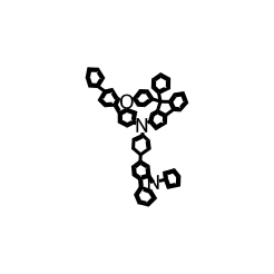 C1=CC(c2ccc3c4ccccc4n(-c4ccccc4)c3c2)CC=C1N(c1ccc2c(c1)C(c1ccccc1)(c1ccccc1)c1ccccc1-2)c1ccc2c(c1)oc1cc(-c3ccccc3)ccc12